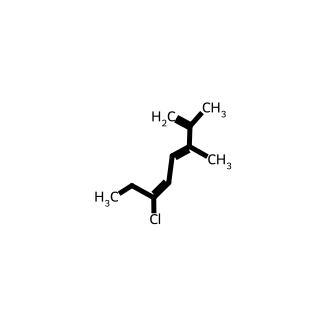 C=C(C)/C(C)=C/C=C(/Cl)CC